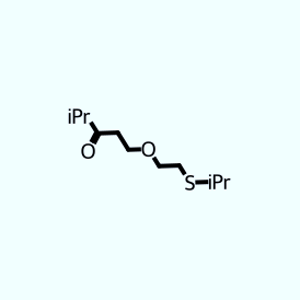 CC(C)SCCOCCC(=O)C(C)C